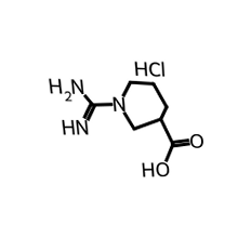 Cl.N=C(N)N1CCCC(C(=O)O)C1